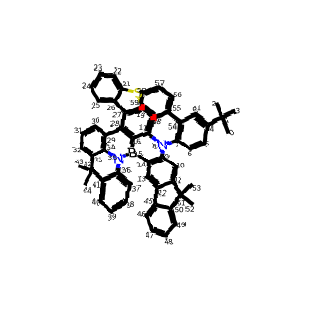 CC(C)(C)c1ccc(N2c3cc4c(cc3B3c5c2cc2sc6ccccc6c2c5-c2cccc5c2N3c2ccccc2C5(C)C)-c2ccccc2C4(C)C)c(-c2ccccc2)c1